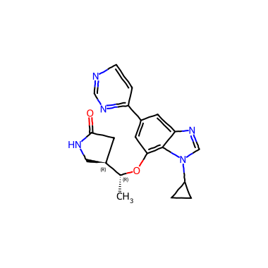 C[C@@H](Oc1cc(-c2ccncn2)cc2ncn(C3CC3)c12)[C@H]1CNC(=O)C1